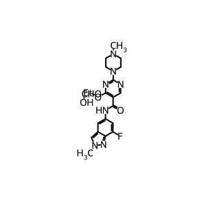 CCOc1nc(N2CCN(C)CC2)ncc1C(=O)Nc1cc(F)c2nn(C)cc2c1.O=CO